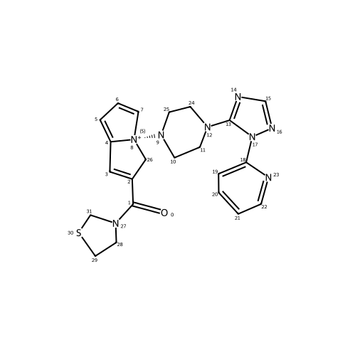 O=C(C1=CC2=CC=C[N@@+]2(N2CCN(c3ncnn3-c3ccccn3)CC2)C1)N1CCSC1